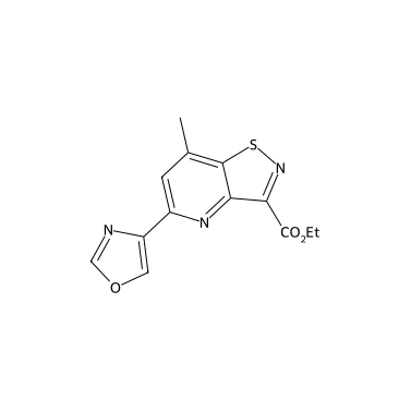 CCOC(=O)c1nsc2c(C)cc(-c3cocn3)nc12